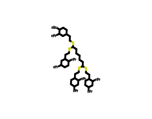 CCCCC1CCC(CCSC(CCCCCC(SCCC2CCC(CCC)CC2CCC)SCCC2CCC(CCC)CC2CCC)SCCC2CC(CCC)CCC2CCC)CC1CCC